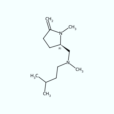 C=C1CC[C@H](CN(C)CCC(C)C)N1C